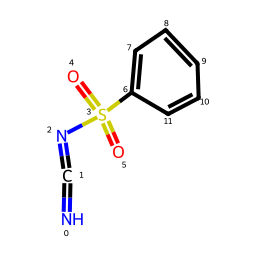 N=C=NS(=O)(=O)c1ccccc1